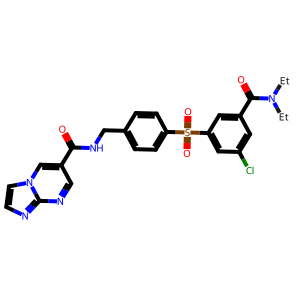 CCN(CC)C(=O)c1cc(Cl)cc(S(=O)(=O)c2ccc(CNC(=O)c3cnc4nccn4c3)cc2)c1